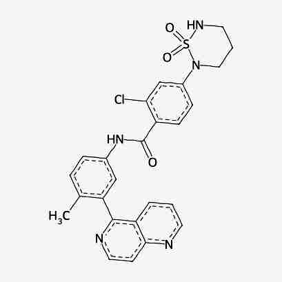 Cc1ccc(NC(=O)c2ccc(N3CCCNS3(=O)=O)cc2Cl)cc1-c1nccc2ncccc12